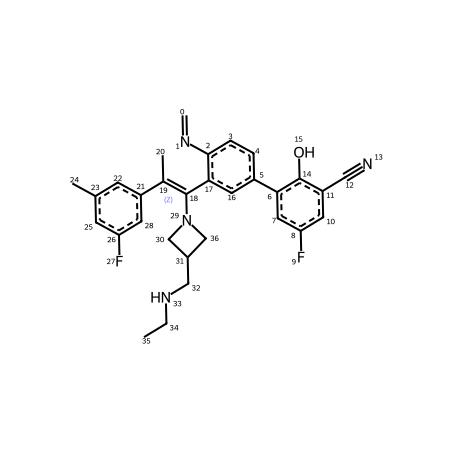 C=Nc1ccc(-c2cc(F)cc(C#N)c2O)cc1/C(=C(\C)c1cc(C)cc(F)c1)N1CC(CNCC)C1